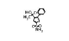 CC(C)(O)c1cc(S(N)(=O)=O)sc1-c1ccccc1